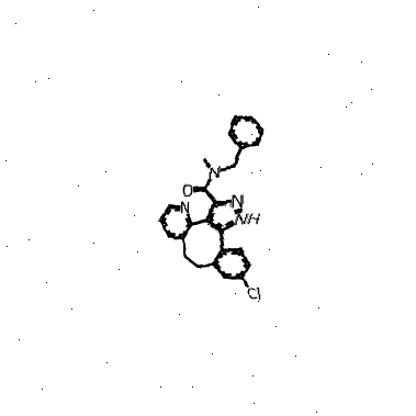 CN(Cc1ccccc1)C(=O)c1n[nH]c2c1-c1ncccc1CCc1cc(Cl)ccc1-2